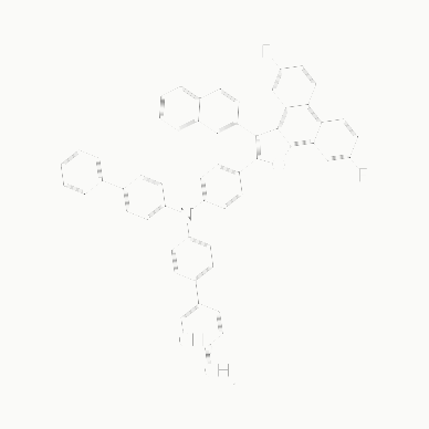 C=C/C=C\C(=C/C)c1ccc(N(c2ccc(-c3ccccc3)cc2)c2ccc(-c3oc4c5cc(F)ccc5c5ccc(F)cc5c4c3-c3ccc4ccccc4c3)cc2)cc1